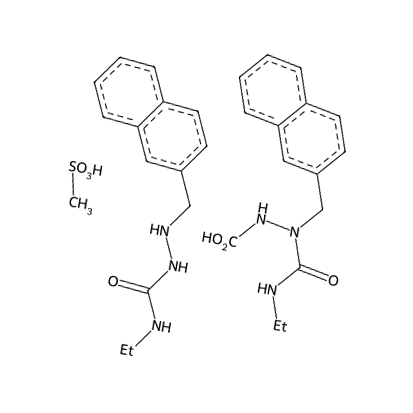 CCNC(=O)N(Cc1ccc2ccccc2c1)NC(=O)O.CCNC(=O)NNCc1ccc2ccccc2c1.CS(=O)(=O)O